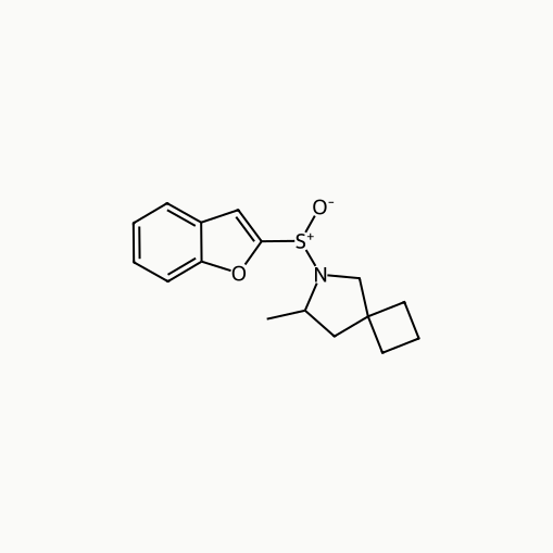 CC1CC2(CCC2)CN1[S+]([O-])c1cc2ccccc2o1